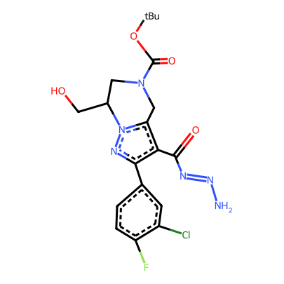 CC(C)(C)OC(=O)N1Cc2c(C(=O)N=NN)c(-c3ccc(F)c(Cl)c3)nn2C(CO)C1